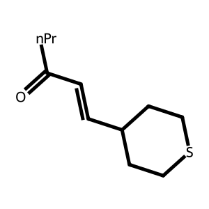 CCCC(=O)C=CC1CCSCC1